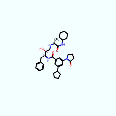 C[C@H](NC[C@H](O)[C@H](Cc1ccccc1)NC(=O)c1cc(C2CCCC2)cc(N2CCCC2=O)c1)C(=O)NC1CCCCC1